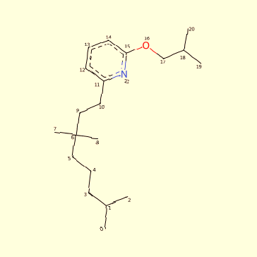 CC(C)CCCC(C)(C)CCc1cccc(OCC(C)C)n1